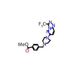 COC(=O)c1ccc(CN2CCN(c3ccc4nnc(C(F)(F)F)n4n3)CC2)cc1